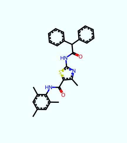 Cc1cc(C)c(NC(=O)c2sc(NC(=O)C(c3ccccc3)c3ccccc3)nc2C)c(C)c1